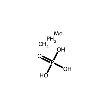 C.O=P(O)(O)O.P.[Mo]